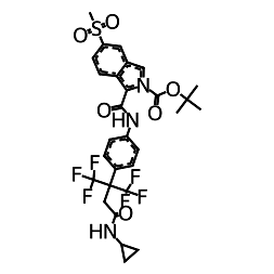 CC(C)(C)OC(=O)n1cc2cc(S(C)(=O)=O)ccc2c1C(=O)Nc1ccc(C(CC(=O)NC2CC2)(C(F)(F)F)C(F)(F)F)cc1